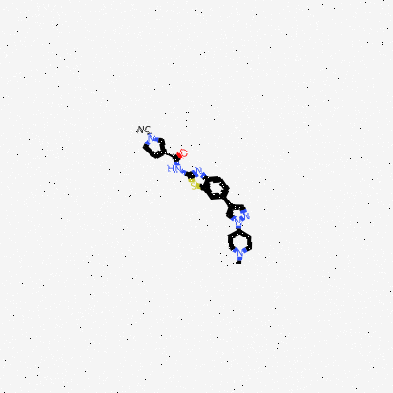 CN1CCC(n2cc(-c3ccc4nc(NC(=O)[C@H]5CCN(C#N)C5)sc4c3)cn2)CC1